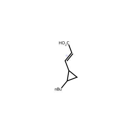 CCCCC1CC1/C=C/C(=O)O